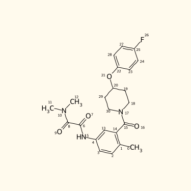 Cc1ccc(NC(=O)C(=O)N(C)C)cc1C(=O)N1CCC(Oc2ccc(F)cc2)CC1